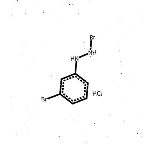 BrNNc1cccc(Br)c1.Cl